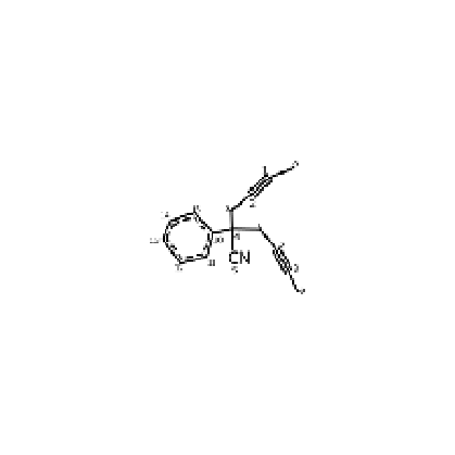 CC#CCC(C#N)(CC#CC)c1ccccc1